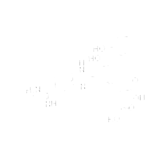 N=C(N)c1ccc2[nH]c(-c3cc(C(CC(=O)O)C(=O)O)cc(-c4ccccc4O)c3O)nc2c1